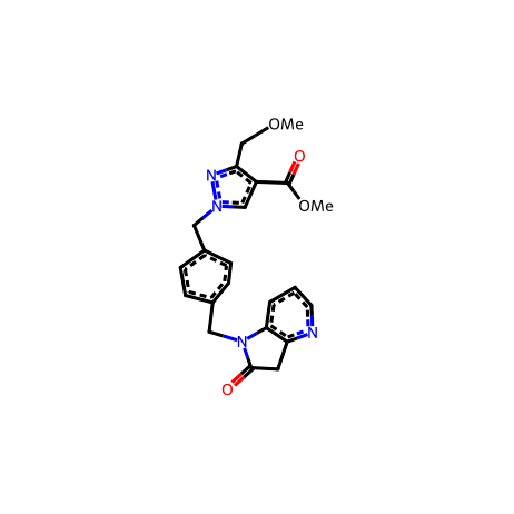 COCc1nn(Cc2ccc(CN3C(=O)Cc4ncccc43)cc2)cc1C(=O)OC